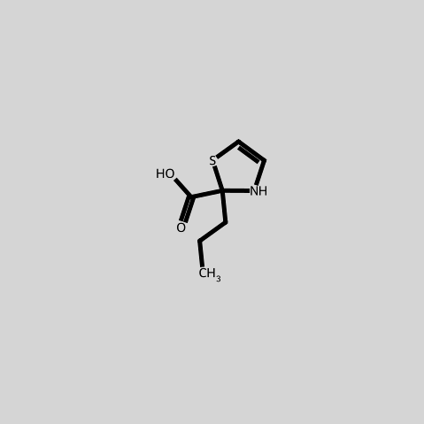 CCCC1(C(=O)O)NC=CS1